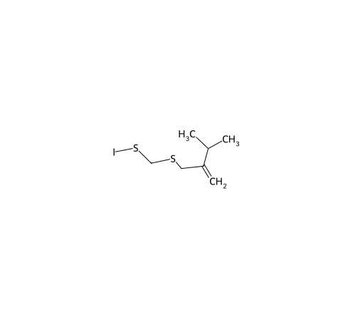 C=C(CSCSI)C(C)C